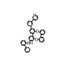 C1=CCCC(c2ccccc2Nc2ccc3c(c2)Oc2ccccc2-c2ccccc2Oc2cc(C4C=C(c5cccnc5)C=CC4)ccc2-3)=C1